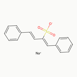 O=S(=O)([O-])C(C=Cc1ccccc1)=Cc1ccccc1.[Na+]